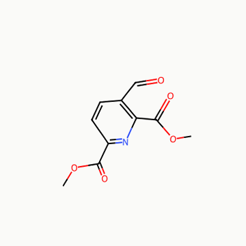 COC(=O)c1ccc(C=O)c(C(=O)OC)n1